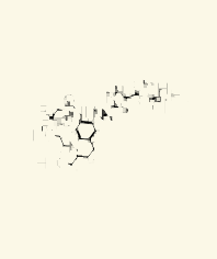 CCCN1c2cc(NS(=O)(=O)CC(F)(F)F)c(N=Nc3nnc(C(=O)OC(C)(C)C)s3)cc2CCC1CC